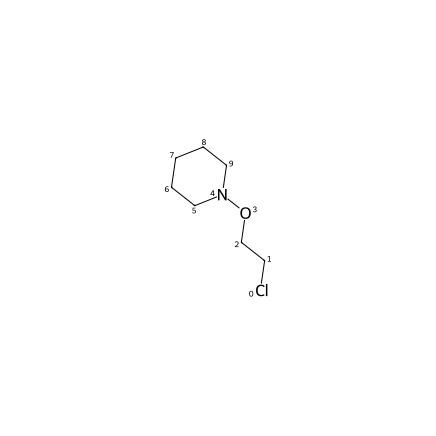 ClCCON1CCCCC1